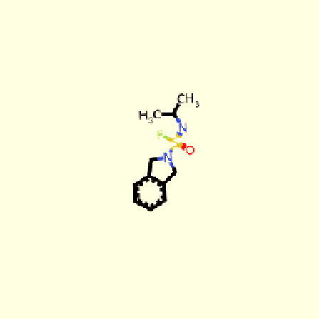 CC(C)N=S(=O)(F)N1Cc2ccccc2C1